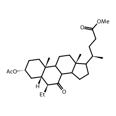 CC[C@@H]1C(=O)C2C3CCC([C@H](C)CCC(=O)OC)[C@@]3(C)CCC2[C@@]2(C)CC[C@@H](OC(C)=O)C[C@@H]12